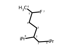 CC(C)CC(CCC(C)F)C(C)C